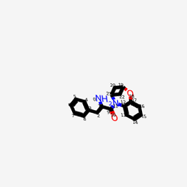 NC(Cc1ccccc1)C(=O)N1c2ccccc2OC2CC1C2